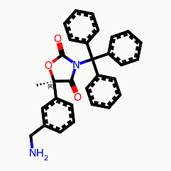 C[C@]1(c2cccc(CN)c2)OC(=O)N(C(c2ccccc2)(c2ccccc2)c2ccccc2)C1=O